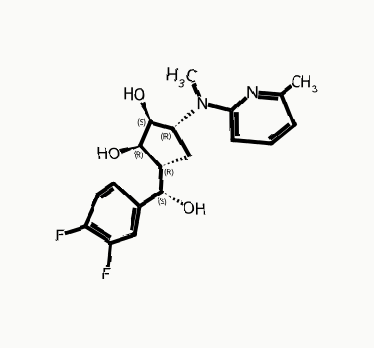 Cc1cccc(N(C)[C@@H]2C[C@H]([C@H](O)c3ccc(F)c(F)c3)[C@@H](O)[C@H]2O)n1